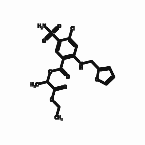 CCOC(=O)C(C)OC(=O)c1cc(S(N)(=O)=O)c(Cl)cc1NCc1ccco1